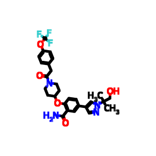 CC(C)(CO)n1cc(-c2ccc(OC3CCN(C(=O)Cc4ccc(OC(F)(F)F)cc4)CC3)c(C(N)=O)c2)cn1